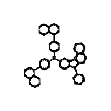 c1ccc(-c2c3ccc(N(c4ccc(-c5cccc6ccccc56)cc4)c4ccc(-c5cccc6ccccc56)cc4)cc3n3c2ccc2ccccc23)cc1